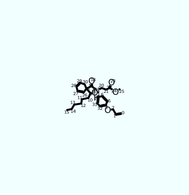 C=CCOc1ccc(OC(CCCCCC)C2(C(=O)NCCC(=O)OC)C=CC=CC2)cc1